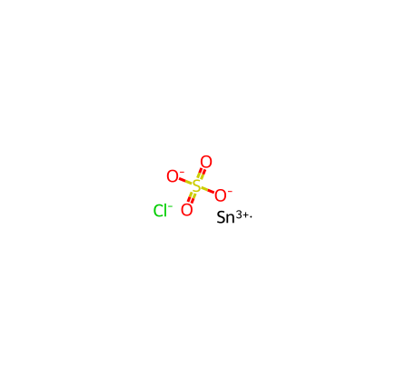 O=S(=O)([O-])[O-].[Cl-].[Sn+3]